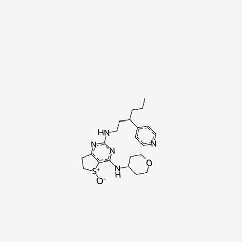 CCCC(CCNc1nc2c(c(NC3CCOCC3)n1)[S+]([O-])CC2)c1ccncc1